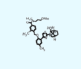 COCCCN(C)C(=O)c1ccc(COc2ccc(C)cc2-c2csc(N3C[C@H]4CC[C@@H](C3)[C@H]4CO)n2)c(C)c1